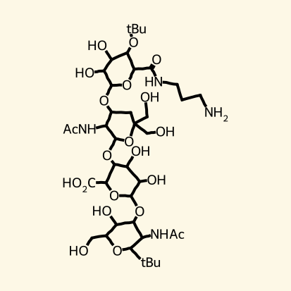 CC(=O)NC1C(OC2OC(C(=O)NCCCN)C(OC(C)(C)C)C(O)C2O)CC(CO)(CO)OC1OC1C(C(=O)O)OC(OC2C(O)C(CO)OC(C(C)(C)C)C2NC(C)=O)C(O)C1O